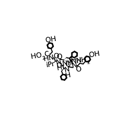 CC(C)[C@H](NC(=O)[C@H](Cc1c[nH]c2ccccc12)NC(=O)[C@H](Cc1ccccc1)NC(=O)CNC(=O)[C@@H](N)Cc1ccc(O)cc1)C(=O)N[C@@H](Cc1ccc(O)cc1)C(=O)O